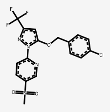 CS(=O)(=O)c1ccc(-n2nc(C(F)(F)F)cc2OCc2ccc(Cl)cc2)nc1